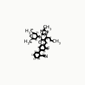 CCCc1c(Cc2ccc(-c3ccccc3C#N)cc2F)c(=O)n(C2C[C@@H](C)O[C@@H](C)C2)c2nc(C)nn12